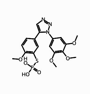 COc1ccc(-c2cnnn2-c2cc(OC)c(OC)c(OC)c2)cc1SP(=O)(O)O